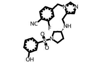 N#Cc1ccc(Cn2cncc2CN[C@@H]2CCN(S(=O)(=O)c3cccc(O)c3)C2)cc1F